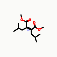 COC(=O)/C(CC(C)C)=C(/CC(C)C)C(=O)OC